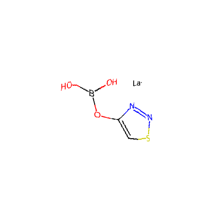 OB(O)Oc1csnn1.[La]